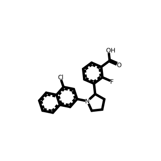 O=C(O)c1cccc(C2CCCN2c2cc(Cl)c3ccccc3c2)c1F